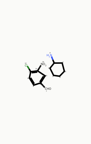 NC1CCCCC1.O=Cc1ccc(Cl)c([N+](=O)[O-])c1